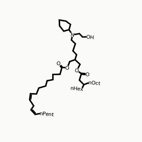 CCCCC/C=C\C/C=C\CCCCCCCC(=O)OCC(CCCCN(CCO)C1CCCCC1)COC(=O)CC(CCCCCC)CCCCCCCC